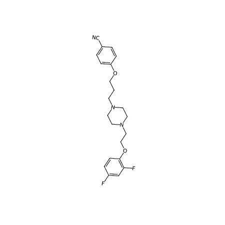 N#Cc1ccc(OCCCN2CCN(CCOc3ccc(F)cc3F)CC2)cc1